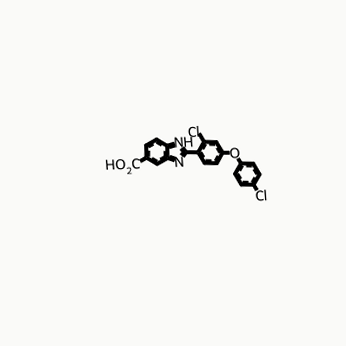 O=C(O)c1ccc2[nH]c(-c3ccc(Oc4ccc(Cl)cc4)cc3Cl)nc2c1